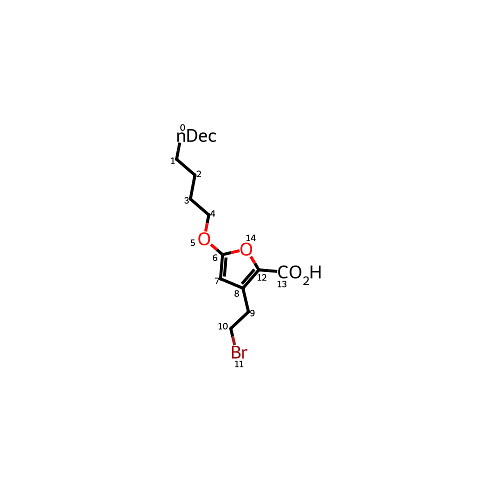 CCCCCCCCCCCCCCOc1cc(CCBr)c(C(=O)O)o1